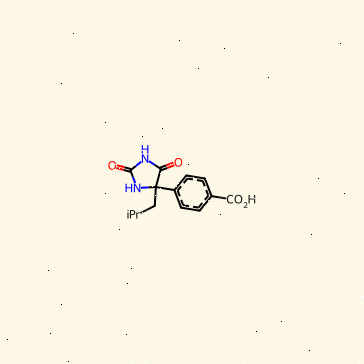 CC(C)CC1(c2ccc(C(=O)O)cc2)NC(=O)NC1=O